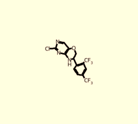 FC(F)(F)c1ccc(C2COc3cnc(Cl)nc3N2)c(C(F)(F)F)c1